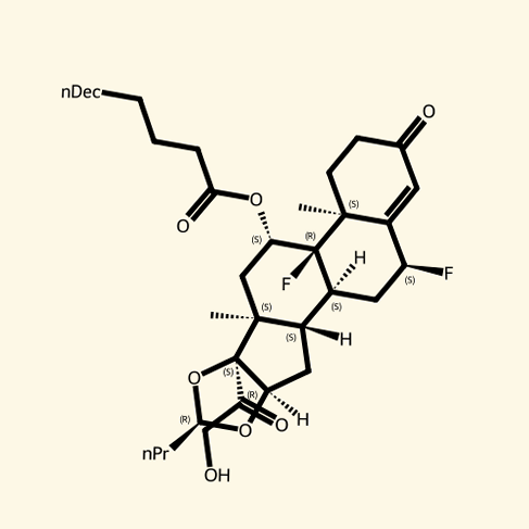 CCCCCCCCCCCCCC(=O)O[C@H]1C[C@@]2(C)[C@@H](C[C@H]3O[C@@H](CCC)O[C@]32C(=O)CO)[C@@H]2C[C@H](F)C3=CC(=O)CC[C@]3(C)[C@@]12F